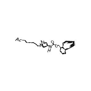 CC(=O)CCCCn1cc(NC(=O)OCc2cccc3ccccc23)cn1